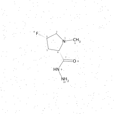 CN1C[C@@H](F)C[C@H]1C(=O)NN